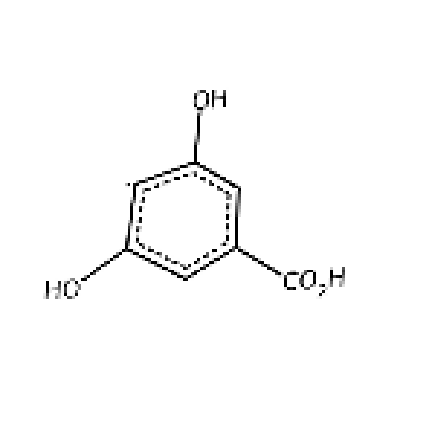 O=C(O)c1cc(O)[c]c(O)c1